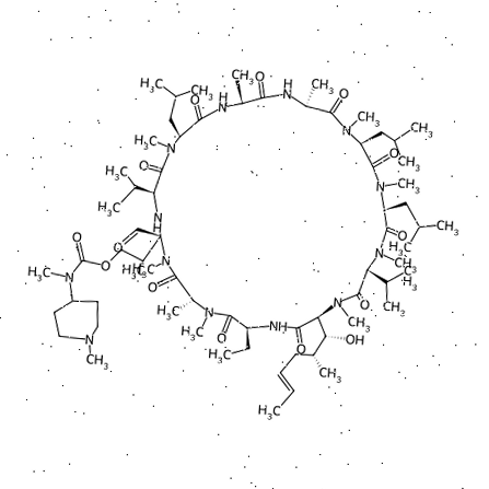 C/C=C/C[C@@H](C)[C@@H](O)[C@H]1C(=O)N[C@@H](CC)C(=O)N(C)[C@H](C)C(=O)N(C)[C@](C=O)([C@H](C)COC(=O)N(C)C2CCN(C)CC2)N[C@@H](C(C)C)C(=O)N(C)[C@@H](CC(C)C)C(=O)N[C@@H](C)C(=O)N[C@H](C)C(=O)N(C)[C@@H](CC(C)C)C(=O)N(C)[C@@H](CC(C)C)C(=O)N(C)[C@@H](C(C)C)C(=O)N1C